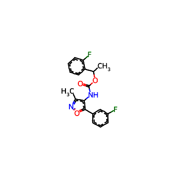 Cc1noc(-c2cccc(F)c2)c1NC(=O)OC(C)c1ccccc1F